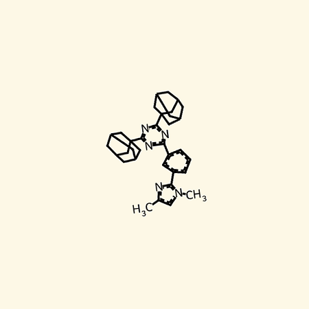 Cc1cn(C)c(-c2cccc(-c3nc(C45CC6CC(CC(C6)C4)C5)nc(C45CC6CC(CC(C6)C4)C5)n3)c2)n1